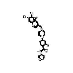 CCc1cc2ncc(CN3CCN(c4ccc(C(=O)N[C@@H]5CCOC5)c(F)c4)CC3)cc2[nH]c1=O